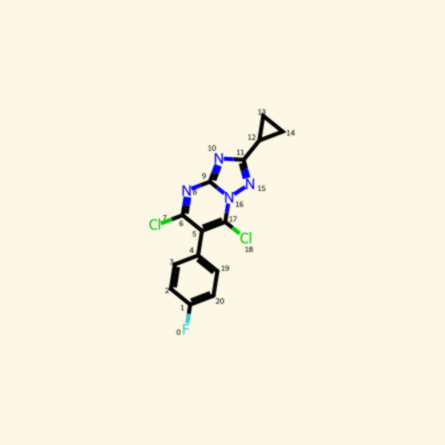 Fc1ccc(-c2c(Cl)nc3nc(C4CC4)nn3c2Cl)cc1